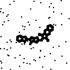 Cn1c(-c2cc3ccccc3s2)cc2oc(C=C3C(=O)c4cc5ccccc5cc4C3=O)cc21